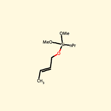 CC=CCO[Si](CCC)(OC)OC